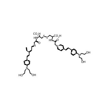 C=CC(/C=C/c1ccc(N(CCO)CCO)cc1)=C\C=N\CC(=O)NC(CSSCC(NC(=O)C[n+]1ccc(/C=C/c2ccc(N(CCO)CCO)cc2)cc1)C(=O)O)C(=O)O